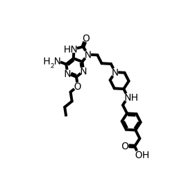 CCCCOc1nc(N)c2[nH]c(=O)n(CCCN3CCC(NCc4ccc(CC(=O)O)cc4)CC3)c2n1